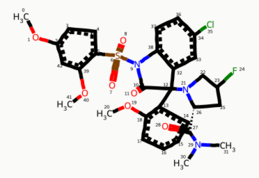 COc1ccc(S(=O)(=O)N2C(=O)C(c3ccccc3OC)(N3CC(F)C[C@@H]3C(=O)N(C)C)c3cc(Cl)ccc32)c(OC)c1